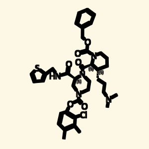 Cc1ccc(OC(=O)N2CCN(C(=O)[C@@H]3[C@@H](CCCN(C)C)CCCN3C(=O)OCc3ccccc3)[C@H](C(=O)NCc3cccs3)C2)c(Cl)c1C